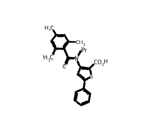 Cc1cc(C)c(C(=O)N(c2cc(-c3ccccc3)sc2C(=O)O)C(C)C)c(C)c1